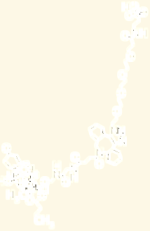 CCCC1O[C@@H]2C[C@H]3[C@@H]4CCC5=CC(=O)C=C[C@]5(C)[C@H]4[C@@H](O)C[C@]3(C)[C@]2(C(=O)COCNC(=O)CNC(=O)CCC(=O)N2Cc3ccccc3-c3c(nnn3CCOCCOCCOCCOCCC(=O)NCCS(=O)(=O)O)-c3ccccc32)O1